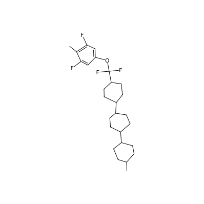 Cc1c(F)cc(OC(F)(F)C2CCC(C3CCC(C4CCC(C)CC4)CC3)CC2)cc1F